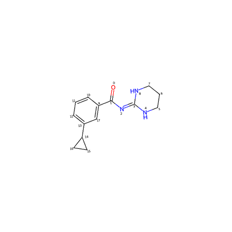 O=C(N=C1NCCCN1)c1cccc(C2CC2)c1